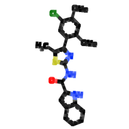 COc1cc(OC)c(-c2nc(NC(=O)c3cc4ccccc4[nH]3)sc2C)cc1Cl